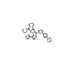 c1ccc(-c2ccc(-c3cccc(-n4c5cc6c7ccccc7n(-c7ccccc7)c6cc5c5c(-c6ccccc6)cccc54)c3)cc2)cc1